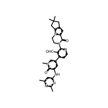 Cc1cc(Nc2cc(-c3ccnc(N4CCn5c(cc6c5CC(C)(C)C6)C4=O)c3C=O)cn(C)c2=O)nc(C)n1